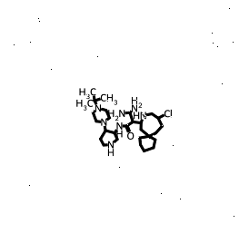 CC(C)(C)N1CCN(C2CCNCC2NC(=O)C(C(N)N)C2CC3(CCCCC3)CCC(Cl)CN2)CC1